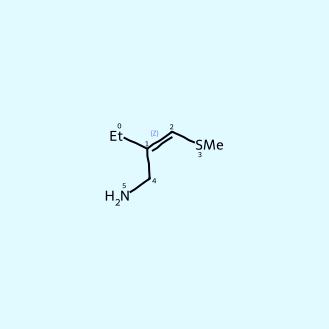 CC/C(=C/SC)CN